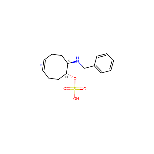 O=S(=O)(O)O[C@@H]1CC/C=C\CC[C@H]1NCc1ccccc1